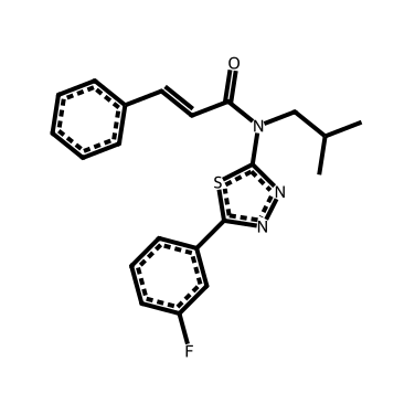 CC(C)CN(C(=O)C=Cc1ccccc1)c1nnc(-c2cccc(F)c2)s1